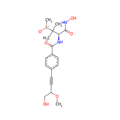 COC(C#Cc1ccc(C(=O)N[C@H](C(=O)NO)C(C)(C)[S+](C)[O-])cc1)CO